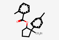 CCOC(=O)C1(c2ccc(C)cc2)CCCC1OC(=O)c1ccccc1C